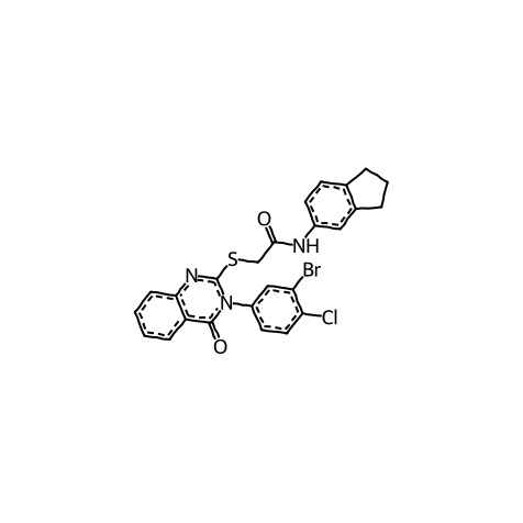 O=C(CSc1nc2ccccc2c(=O)n1-c1ccc(Cl)c(Br)c1)Nc1ccc2c(c1)CCC2